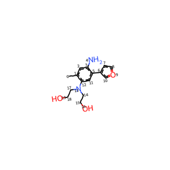 Cc1cc(N)c(-c2ccoc2)cc1N(CCO)CCO